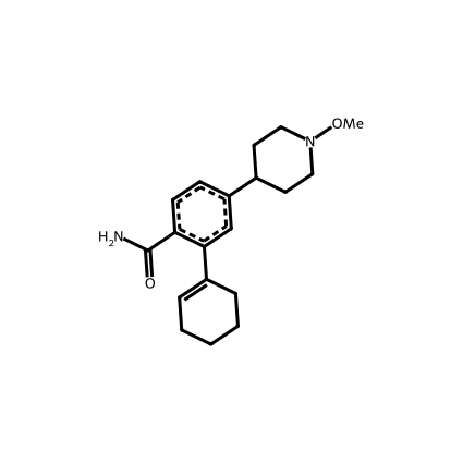 CON1CCC(c2ccc(C(N)=O)c(C3=CCCCC3)c2)CC1